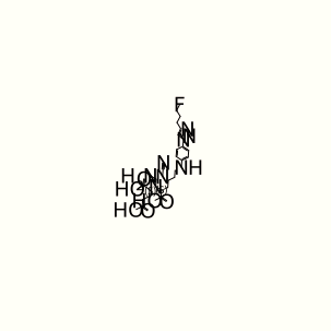 N#CN=C(N)N([C@@H](CCCCNc1ccc(-n2cc(CCCF)nn2)cc1)C(=O)O)[C@@H](CCC(=O)O)C(=O)O